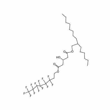 CCCCCCCCC(CCCCCC)COC(=O)CC(O)CC(=O)OCCC(F)(F)C(F)(F)C(F)(F)C(F)(F)C(F)(F)C(F)(F)F